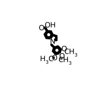 COc1cc(CN2CCc3cc(C(=O)O)ccc32)cc(OC)c1OC